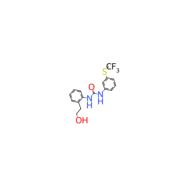 O=C(Nc1cccc(SC(F)(F)F)c1)Nc1ccccc1CCO